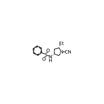 CC[C@H]1C[C@@H](NS(=O)(=O)c2ccccc2)CN1C#N